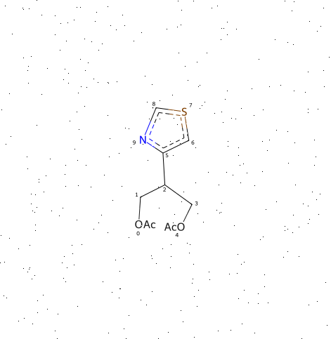 CC(=O)OCC(COC(C)=O)c1cs[c]n1